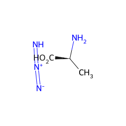 C[C@H](N)C(=O)O.[N-]=[N+]=N